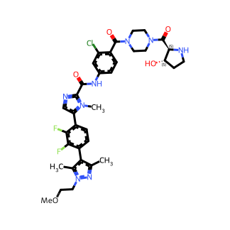 COCCn1nc(C)c(-c2ccc(-c3cnc(C(=O)Nc4ccc(C(=O)N5CCN(C(=O)[C@H]6NCC[C@@H]6O)CC5)c(Cl)c4)n3C)c(F)c2F)c1C